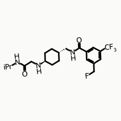 CC(C)NC(=O)CN[C@H]1CC[C@H](CNC(=O)c2cc(CF)cc(C(F)(F)F)c2)CC1